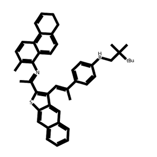 C/C(=C\c1c(/C(C)=N/c2c(C)ccc3c4c(ccc23)CCC=C4)sc2cc3ccccc3cc12)c1ccc(BCC(C)(C)C(C)(C)C)cc1